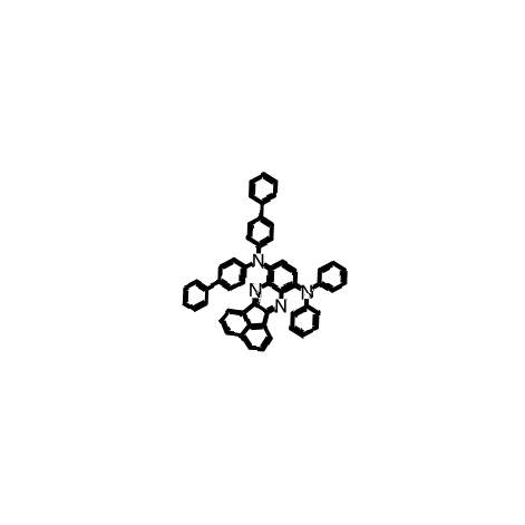 c1ccc(-c2ccc(N(c3ccc(-c4ccccc4)cc3)c3ccc(N(c4ccccc4)c4ccccc4)c4nc5c(nc34)-c3cccc4cccc-5c34)cc2)cc1